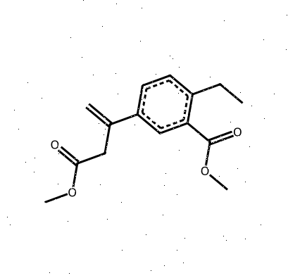 C=C(CC(=O)OC)c1ccc(CC)c(C(=O)OC)c1